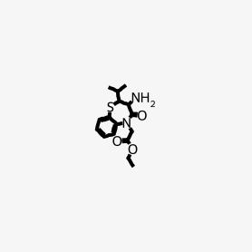 CCOC(=O)CN1C(=O)C(N)C(C(C)C)Sc2ccccc21